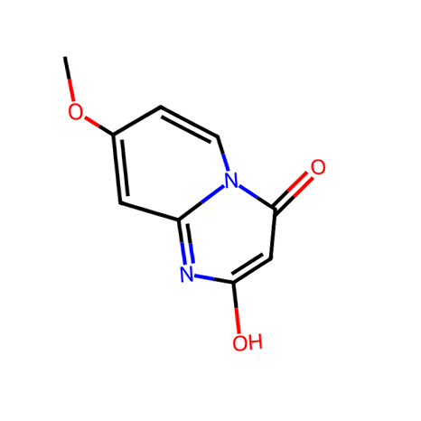 COc1ccn2c(=O)cc(O)nc2c1